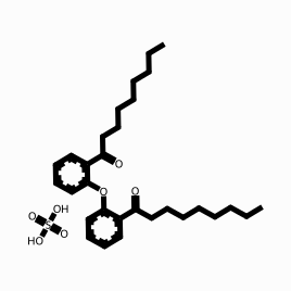 CCCCCCCCC(=O)c1ccccc1Oc1ccccc1C(=O)CCCCCCCC.O=S(=O)(O)O